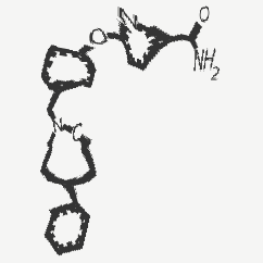 NC(=O)c1ccc(Oc2ccc(CN3CCCC(c4ccccc4)CC3)cc2)nc1